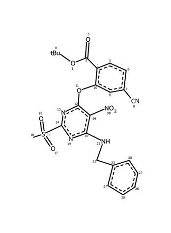 CC(C)(C)OC(=O)c1ccc(C#N)cc1Oc1nc(S(C)(=O)=O)nc(NCc2ccccc2)c1[N+](=O)[O-]